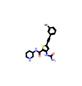 N#Cc1cccc(C#Cc2cc(NC(N)=O)c(C(=O)NC3CCCNC3)s2)c1